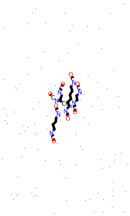 CC(CN=C=O)N=C=O.O=C=NCCCCCCN=C=O.O=C=NCCCCN=C=O.O=C=NCCN=C=O